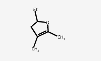 CCC1CC(C)=C(C)O1